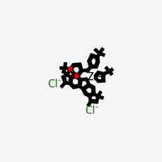 CC1=CC(C)(C)c2cc3c(cc21)-c1cc2c(cc1[CH]3[Zr+2]([C]1=CC(C(C)(C)C)=CC1)=[C](c1ccc(C(C)(C)C)cc1)c1ccc(C(C)(C)C)cc1)C(C)(C)C=C2C.[Cl-].[Cl-]